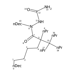 CCCCCCCCCCCCCCC(CCC)(C(=O)N(CCCCCCCCCC)NC(N)=O)C(CCC)(CCC)CCC